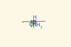 CCCCCCCCCCCCNCCNCCCCCCCCCCCC.NC(=O)C(Cl)Cl